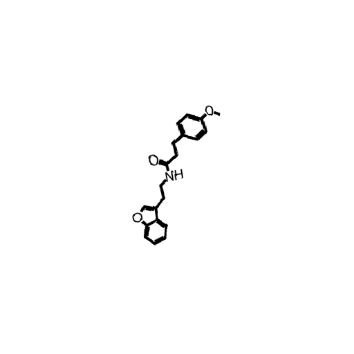 COc1ccc(CCC(=O)NCCc2coc3ccccc23)cc1